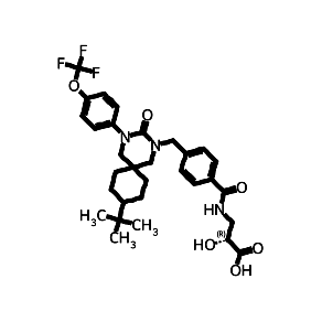 CC(C)(C)C1CCC2(CC1)CN(Cc1ccc(C(=O)NC[C@@H](O)C(=O)O)cc1)C(=O)N(c1ccc(OC(F)(F)F)cc1)C2